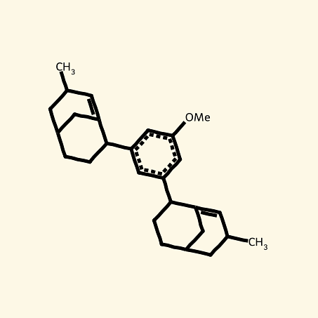 COc1cc(C2CCC3CC2=CC(C)C3)cc(C2CCC3CC2=CC(C)C3)c1